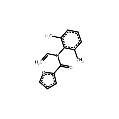 C=CN(C(=O)c1ccco1)c1c(C)cccc1C